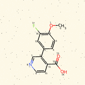 COc1ccc(-c2cnccc2C(=O)O)cc1F